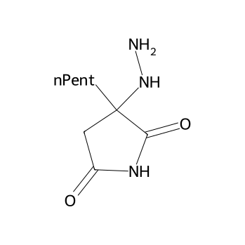 CCCCCC1(NN)CC(=O)NC1=O